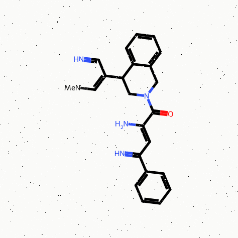 CN/C=C(\C=N)C1CN(C(=O)/C(N)=C/C(=N)c2ccccc2)Cc2ccccc21